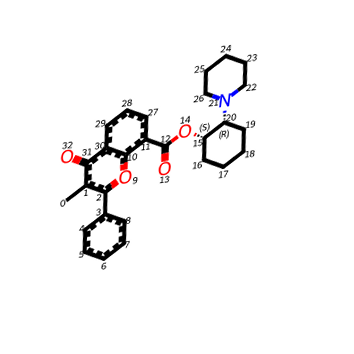 Cc1c(-c2ccccc2)oc2c(C(=O)O[C@H]3CCCC[C@H]3N3CCCCC3)cccc2c1=O